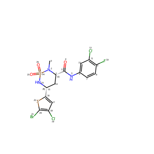 CN1[C@H](C(=O)Nc2ccc(F)c(Cl)c2)C[C@H](c2cc(Cl)c(Br)s2)NS1(=O)=O